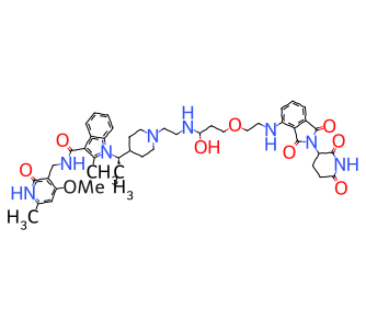 COc1cc(C)[nH]c(=O)c1CNC(=O)c1c(C)n([C@H](C)C2CCN(CCNC(O)CCOCCNc3cccc4c3C(=O)N(C3CCC(=O)NC3=O)C4=O)CC2)c2ccccc12